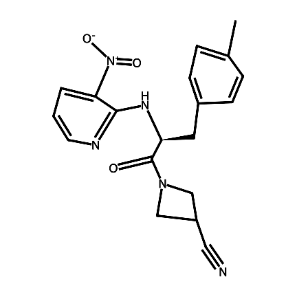 Cc1ccc(C[C@H](Nc2ncccc2[N+](=O)[O-])C(=O)N2CC(C#N)C2)cc1